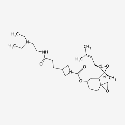 CCN(CC)CCNC(=O)CCC1CN(C(=O)OC2CCC3(CO3)C([C@@]3(C)O[C@@H]3CC=C(C)C)C2)C1